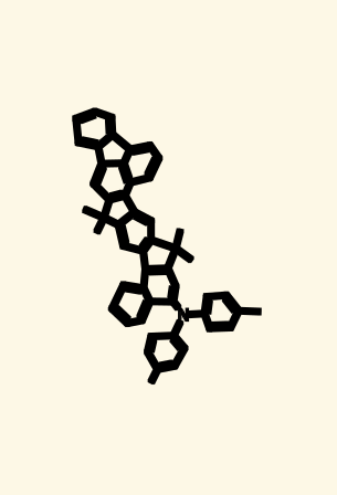 Cc1ccc(N(c2ccc(C)cc2)c2cc3c(c4ccccc24)-c2cc4c(cc2C3(C)C)-c2c(cc3c5c(cccc25)-c2ccccc2-3)C4(C)C)cc1